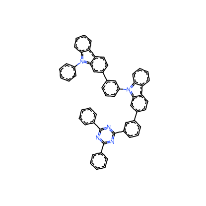 c1ccc(-c2nc(-c3ccccc3)nc(-c3cccc(-c4ccc5c6ccccc6n(-c6cccc(-c7ccc8c9ccccc9n(-c9ccccc9)c8c7)c6)c5c4)c3)n2)cc1